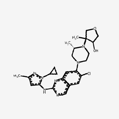 Cc1cc(Nc2ncc3cc(Cl)c(N4CCN(C5(C)COCC5O)[C@@H](C)C4)cc3n2)n(C2CC2)n1